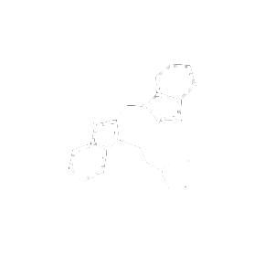 CN(C)CCn1c(Cn2nnc3ccccc32)nc2ccccc21.Cl